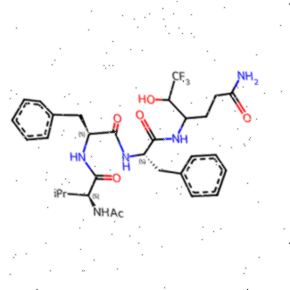 CC(=O)N[C@H](C(=O)N[C@@H](Cc1ccccc1)C(=O)N[C@@H](Cc1ccccc1)C(=O)NC(CCC(N)=O)C(O)C(F)(F)F)C(C)C